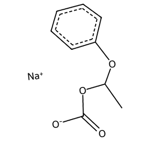 CC(OC(=O)[O-])Oc1ccccc1.[Na+]